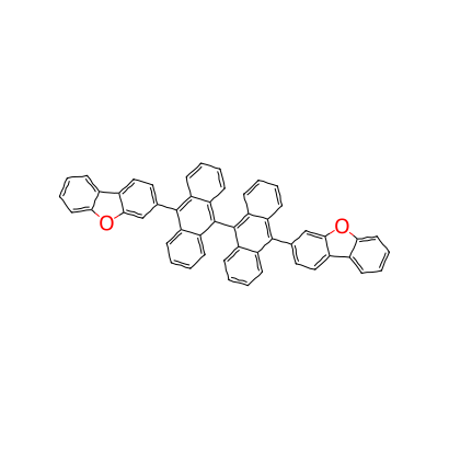 c1ccc2c(c1)oc1cc(-c3c4ccccc4c(-c4c5ccccc5c(-c5ccc6c(c5)oc5ccccc56)c5ccccc45)c4ccccc34)ccc12